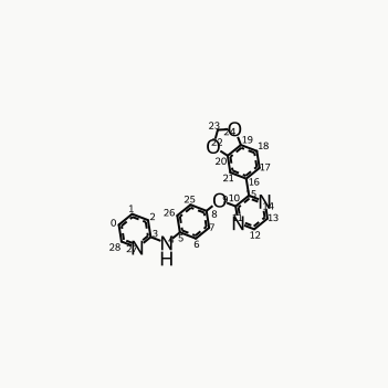 c1ccc(Nc2ccc(Oc3nccnc3-c3ccc4c(c3)OCO4)cc2)nc1